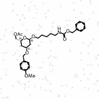 COc1ccc(CO[C@@H]2[CH][C@H](OCCCCCNC(=O)OCc3ccccc3)O[C@@H](COC(C)=O)[CH]2)cc1